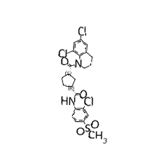 CS(=O)(=O)c1ccc(NC(=O)[C@@H]2CC[C@H](C(=O)N3CCCc4cc(Cl)cc(Cl)c43)C2)c(Cl)c1